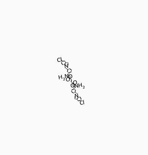 NC(OC(=O)/C=C/C(=O)OC(N)c1cccc(CN2CCc3cc(Cl)ccc32)c1)c1cccc(CN2CCc3cc(Cl)ccc32)c1